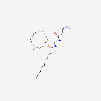 CC1CCCCCCCCCCS1.CCCCCCCCCC(=O)NCNC(=O)CCN(C)C